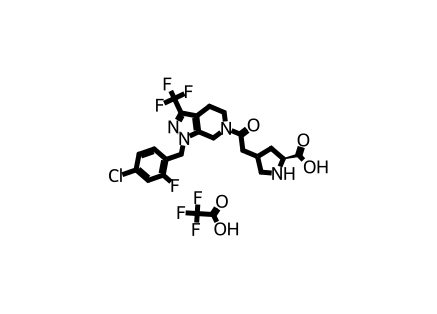 O=C(O)C(F)(F)F.O=C(O)[C@@H]1CC(CC(=O)N2CCc3c(C(F)(F)F)nn(Cc4ccc(Cl)cc4F)c3C2)CN1